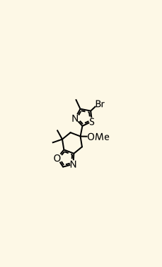 COC1(c2nc(C)c(Br)s2)Cc2ncoc2C(C)(C)C1